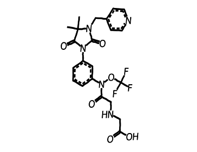 CC1(C)C(=O)N(c2cccc(N(OC(F)(F)F)C(=O)CNCC(=O)O)c2)C(=O)N1Cc1ccncc1